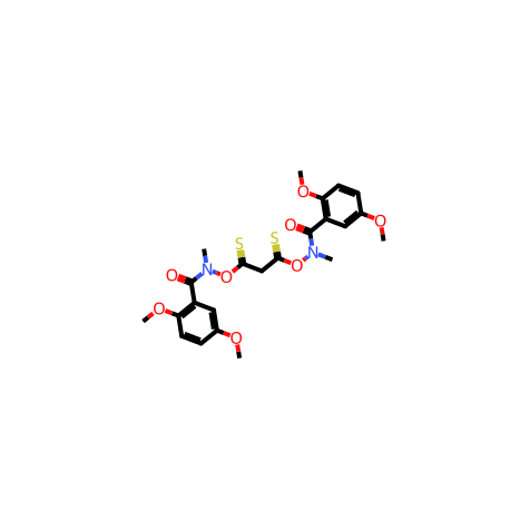 COc1ccc(OC)c(C(=O)N(C)OC(=S)CC(=S)ON(C)C(=O)c2cc(OC)ccc2OC)c1